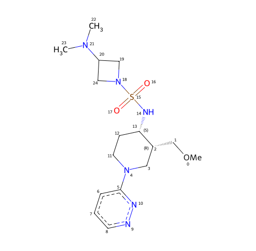 COC[C@@H]1CN(c2cccnn2)CC[C@@H]1NS(=O)(=O)N1CC(N(C)C)C1